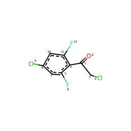 O=C(CCl)c1c(F)cc(Cl)cc1F